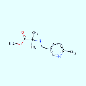 COC(=O)C(C)(C)NCc1ccc(C)nc1